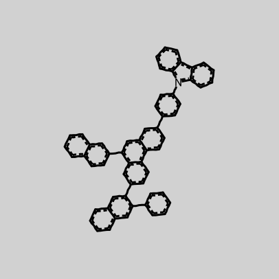 c1ccc(-c2cc3ccccc3cc2-c2ccc3c(c2)c(-c2ccc4ccccc4c2)cc2cc(-c4ccc(-n5c6ccccc6c6ccccc65)cc4)ccc23)cc1